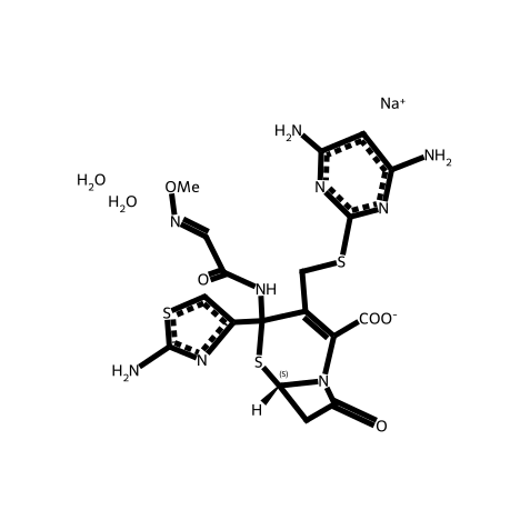 CON=CC(=O)NC1(c2csc(N)n2)S[C@H]2CC(=O)N2C(C(=O)[O-])=C1CSc1nc(N)cc(N)n1.O.O.[Na+]